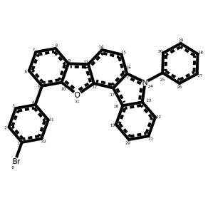 Brc1ccc(-c2cccc3c2oc2c3ccc3c2c2ccccc2n3-c2ccccc2)cc1